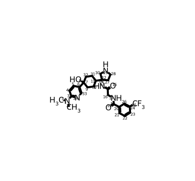 CN(C)c1ccc(C2(O)CCC([C@]3(NC(=O)CNC(=O)c4cccc(C(F)(F)F)c4)CCNC3)CC2)cn1